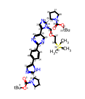 CC(C)(C)OC(=O)N1CCC[C@H]1c1ncc(-c2ccc(-c3ncc(-c4cnc([C@@H]5CCCN5C(=O)OC(C)(C)C)n4COCCS(C)(C)C)cn3)cc2)[nH]1